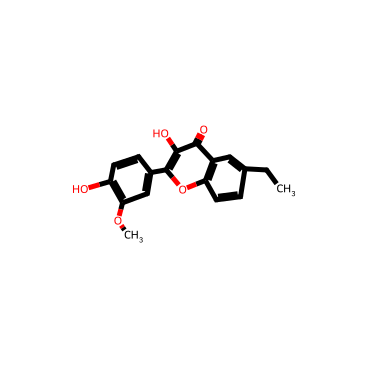 CCc1ccc2oc(-c3ccc(O)c(OC)c3)c(O)c(=O)c2c1